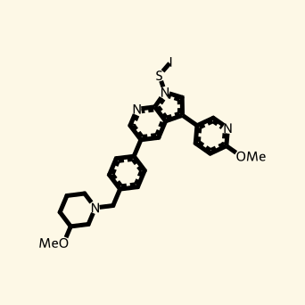 COc1ccc(-c2cn(SI)c3ncc(-c4ccc(CN5CCCC(OC)C5)cc4)cc23)cn1